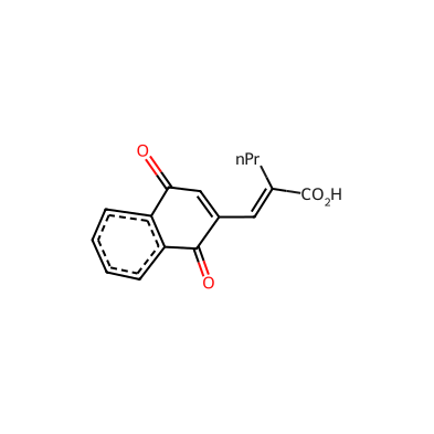 CCC/C(=C\C1=CC(=O)c2ccccc2C1=O)C(=O)O